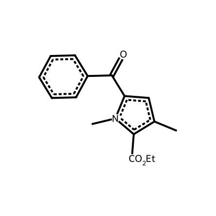 CCOC(=O)c1c(C)cc(C(=O)c2ccccc2)n1C